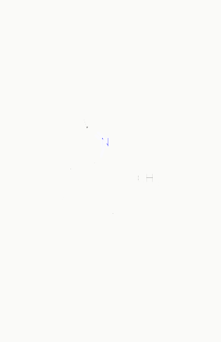 Cc1ccccc1[N]=[V]